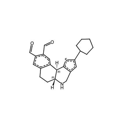 O=Cc1cc2c(cc1C=O)[C@H]1c3sc(C4CCCCC4)cc3CN[C@@H]1CC2